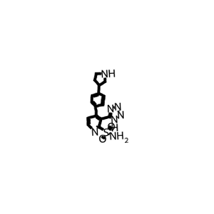 NS(=O)(=O)c1nccc(-c2ccc(C3CCNC3)cc2)c1-c1nnn[nH]1